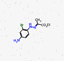 CCOC(=O)/C(C)=N/Nc1ccc(N)cc1Br